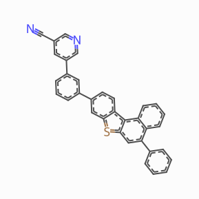 N#Cc1cncc(-c2cccc(-c3ccc4c(c3)sc3cc(-c5ccccc5)c5ccccc5c34)c2)c1